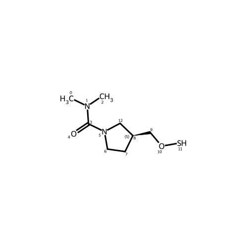 CN(C)C(=O)N1CC[C@H](COS)C1